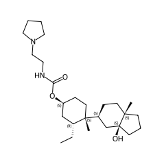 CC[C@@H]1C[C@@H](OC(=O)NCCN2CCCC2)CC[C@]1(C)[C@H]1CC[C@]2(C)CCC[C@]2(O)C1